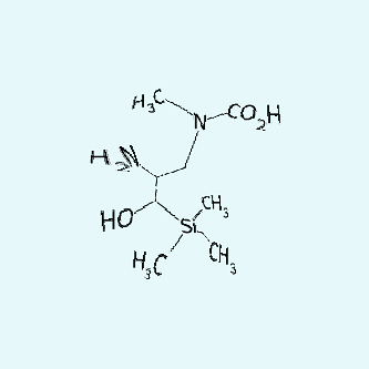 CN(CC(N)C(O)[Si](C)(C)C)C(=O)O